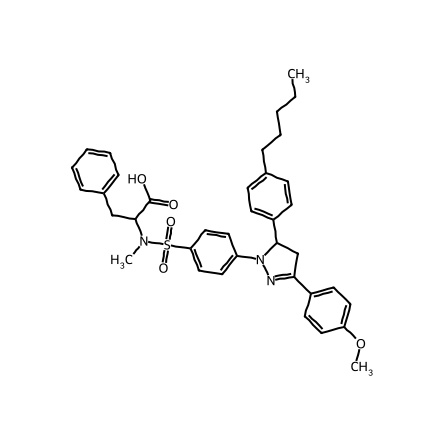 CCCCCc1ccc(C2CC(c3ccc(OC)cc3)=NN2c2ccc(S(=O)(=O)N(C)C(Cc3ccccc3)C(=O)O)cc2)cc1